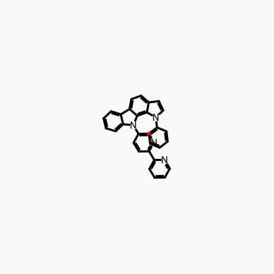 c1ccc(-n2ccc3ccc4c5ccccc5n(-c5ccc(-c6ccccn6)nc5)c4c32)cc1